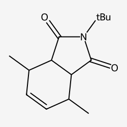 CC1C=CC(C)C2C(=O)N(C(C)(C)C)C(=O)C12